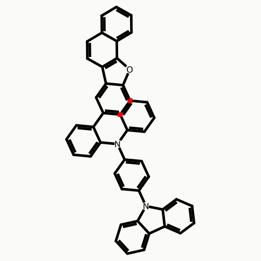 c1ccc(N(c2ccc(-n3c4ccccc4c4ccccc43)cc2)c2ccccc2-c2ccc3oc4c5ccccc5ccc4c3c2)cc1